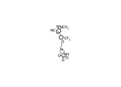 Cn1cnc2c(C#N)nc(-c3ccc(OCCCN4CCC5(CC4)NC(=O)NC5=O)c(C(F)(F)F)c3)cc21